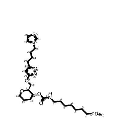 CCCCCCCCCCCCCCCCCNC(=O)O[C@@H]1CCCO[C@H]1COc1cc(CCCC[n+]2ccsc2)on1